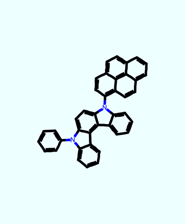 c1ccc(-n2c3ccccc3c3c4c5ccccc5n(-c5ccc6ccc7cccc8ccc5c6c78)c4ccc32)cc1